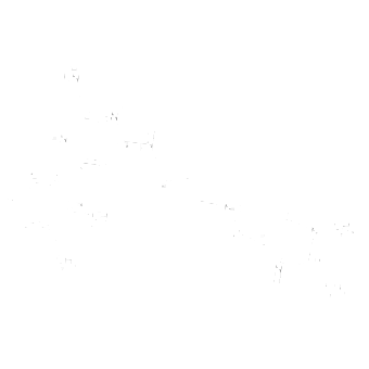 Cc1cccc(-c2cc(NCCCNSC3=CN(C)C(C)N3)nc(N)n2)c1C